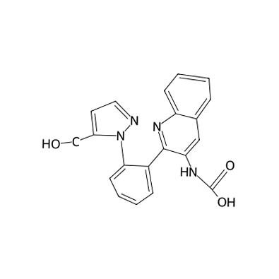 O=C(O)Nc1cc2ccccc2nc1-c1ccccc1-n1nccc1CO